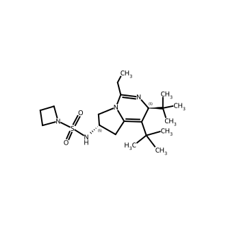 CCC1=N[C@@H](C(C)(C)C)C(C(C)(C)C)=C2C[C@H](NS(=O)(=O)N3CCC3)CN12